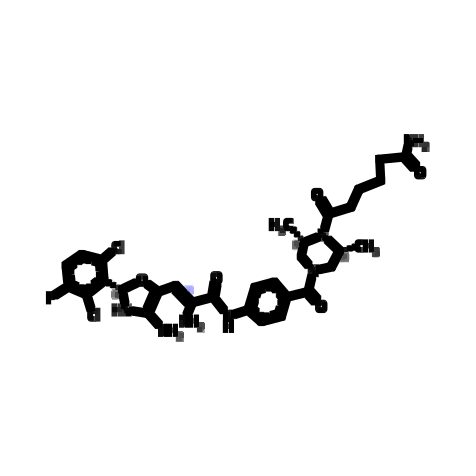 C[C@@H]1CN(C(=O)c2ccc(NC(=O)/C(N)=C/C3=C(N)N[C@H](c4c(Cl)ccc(F)c4Cl)O3)cc2)C[C@H](C)N1C(=O)CCCCC(N)=O